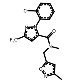 Cc1cc(CN(C)C(=O)c2cc(C(F)(F)F)nn2-c2ccccc2Cl)on1